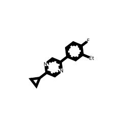 CCc1cc(-c2cnc(C3CC3)cn2)ccc1F